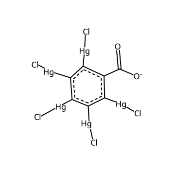 O=C([O-])c1[c]([Hg][Cl])[c]([Hg][Cl])[c]([Hg][Cl])[c]([Hg][Cl])[c]1[Hg][Cl]